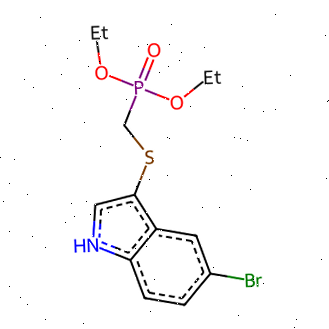 CCOP(=O)(CSc1c[nH]c2ccc(Br)cc12)OCC